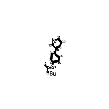 CCCCP(C)Sc1ccc(-c2cccnc2)cc1